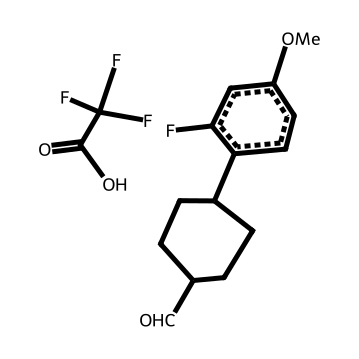 COc1ccc(C2CCC(C=O)CC2)c(F)c1.O=C(O)C(F)(F)F